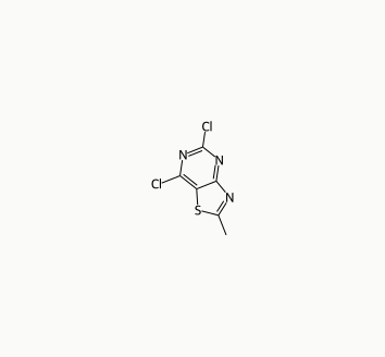 Cc1nc2nc(Cl)nc(Cl)c2s1